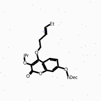 CC/C=C/CCOc1c(OC(C)C)c(=O)oc2cc(OCCCCCCCCCC)ccc12